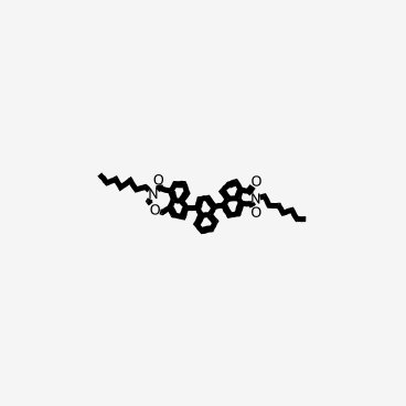 CCCCCCCN1COCc2ccc(-c3ccc(-c4ccc5c6c(cccc46)C(=O)N(CCCCCCC)C5=O)c4ccccc34)c3cccc(c23)C1=O